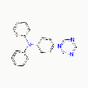 c1ccc(N(c2ccccc2)c2ccccc2)cc1.c1ncncn1